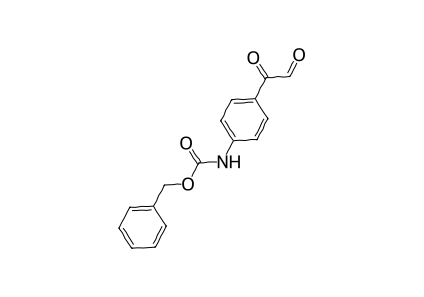 O=CC(=O)c1ccc(NC(=O)OCc2ccccc2)cc1